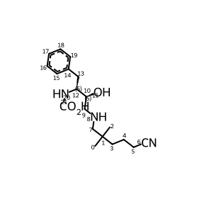 CC(C)(CCCC#N)CNC[C@H](O)[C@H](Cc1ccccc1)NC(=O)O